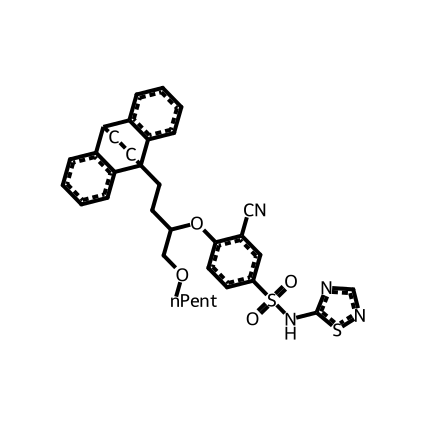 CCCCCOCC(CCC12CCC(c3ccccc31)c1ccccc12)Oc1ccc(S(=O)(=O)Nc2ncns2)cc1C#N